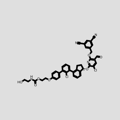 N#Cc1cc(C#N)cc(COc2nc(O[C@H]3CCc4c(-c5cccc(-c6ccc(OCCOC(=O)NCCO)cc6)c5Cl)cccc43)c(Cl)cc2C=O)c1